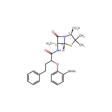 CC(=O)Nc1ccccc1OC(CCc1ccccc1)C(=O)N[C@@]1(C)C(=O)N2[C@@H](C(=O)O)C(C)(C)S[C@@H]21